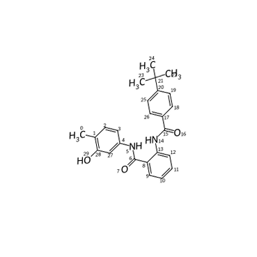 Cc1ccc(NC(=O)c2ccccc2NC(=O)c2ccc(C(C)(C)C)cc2)cc1O